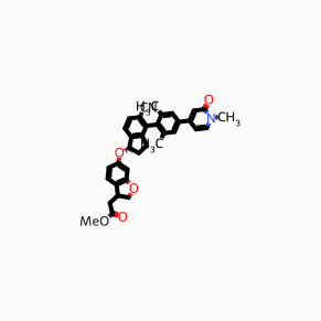 COC(=O)CC1COc2cc(O[C@@H]3CCc4c3ccc(C#N)c4-c3c(C)cc(-c4ccn(C)c(=O)c4)cc3C)ccc21